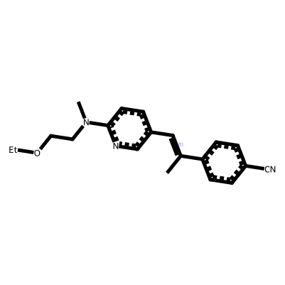 CCOCCN(C)c1ccc(/C=C(\C)c2ccc(C#N)cc2)cn1